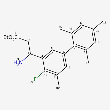 CCOC(=O)CC(N)c1cc(-c2c(C)cc(C)cc2C)cc(C)c1F